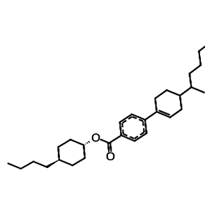 CCCCCC(C)C1CC=C(c2ccc(C(=O)O[C@H]3CC[C@H](CCCC)CC3)cc2)CC1